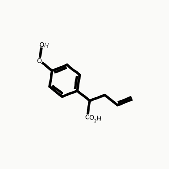 C=CCC(C(=O)O)c1ccc(OO)cc1